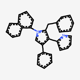 c1ccc(Cc2c(-c3ccccn3)c(-c3ccccc3)cn2-c2cccc3ccccc23)cc1